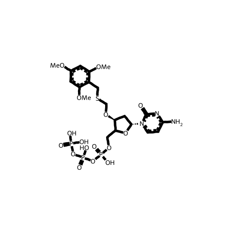 COc1cc(OC)c(CSCO[C@H]2C[C@H](n3ccc(N)nc3=O)OC2COP(=O)(O)OP(=O)(O)OP(=O)(O)O)c(OC)c1